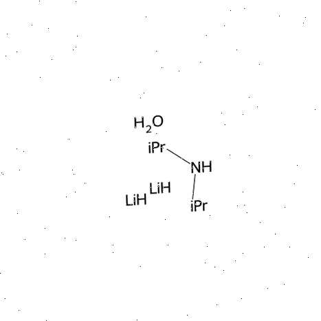 CC(C)NC(C)C.O.[LiH].[LiH]